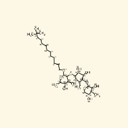 CC1OC(OC2[C@H](OCCCCCCCCCCCC(C)(C)C)OC(C)[C@H](O)[C@@H]2O)[C@@H](O)C(O)[C@H]1O[C@@H]1OC[C@@H](O)[C@H](C)C1O